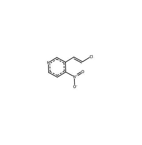 O=[N+]([O-])c1ccncc1C=CCl